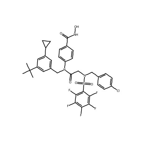 CC(C)(C)c1cc(CN(C(=O)CN(Cc2ccc(Cl)cc2)S(=O)(=O)c2c(F)c(F)c(F)c(F)c2F)c2ccc(C(=O)NO)cc2)cc(C2CC2)c1